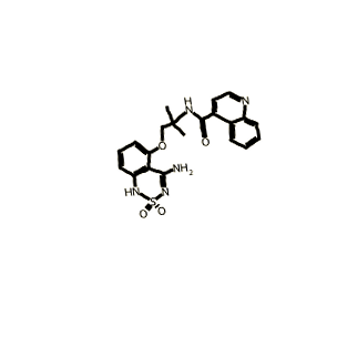 CC(C)(COc1cccc2c1C(N)=NS(=O)(=O)N2)NC(=O)c1ccnc2ccccc12